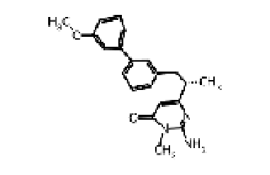 COc1cccc(-c2cccc(C[C@H](C)c3cc(=O)n(C)c(N)n3)c2)c1